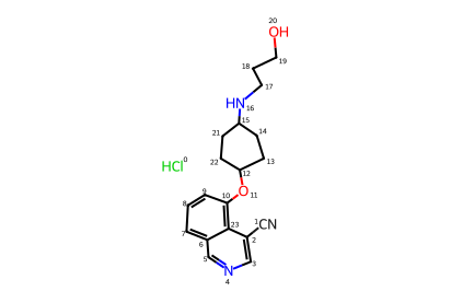 Cl.N#Cc1cncc2cccc(OC3CCC(NCCCO)CC3)c12